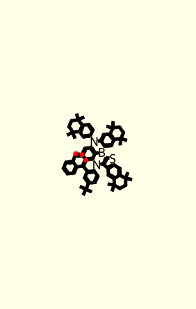 Cc1cc2c3c(c1)N(c1ccc(C(C)(C)C)cc1-c1cccc4ccccc14)c1c(sc4cc5c(cc14)C(C)(C)CCC5(C)C)B3c1cc3c(cc1N2c1ccc2c(c1)C(C)(C)CCC2(C)C)C(C)(C)CCC3(C)C